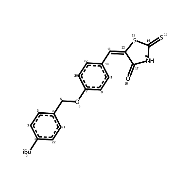 CCC(C)c1ccc(COc2ccc(C=C3SC(=S)NC3=O)cc2)cc1